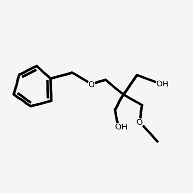 COCC(CO)(CO)COCc1ccccc1